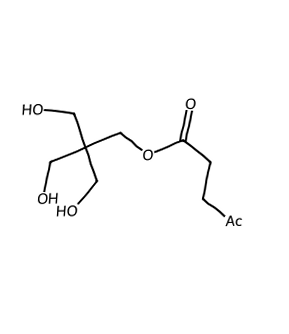 CC(=O)CCC(=O)OCC(CO)(CO)CO